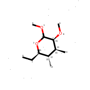 CC[C@H]1OC(OC)[C@@H](OC)[C@@H](C)[C@@H]1C